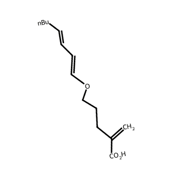 C=C(CCCOC=CC=CCCCC)C(=O)O